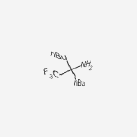 CCCCC(N)(CCCC)C(F)(F)F